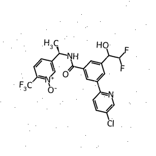 C[C@@H](NC(=O)c1cc(-c2ccc(Cl)cn2)cc(C(O)C(F)F)c1)c1ccc(C(F)(F)F)[n+]([O-])c1